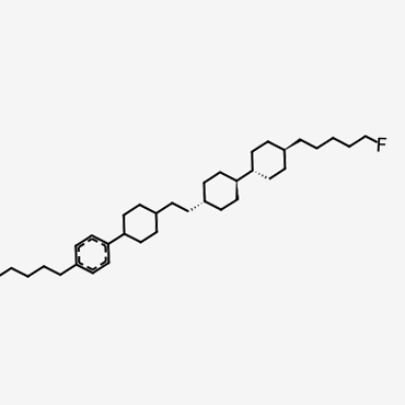 CCCCCc1ccc(C2CCC(CC[C@H]3CC[C@H]([C@H]4CC[C@H](CCCCCF)CC4)CC3)CC2)cc1